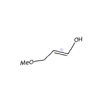 COC/C=C/O